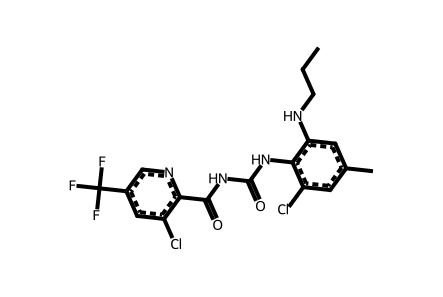 CCCNc1cc(C)cc(Cl)c1NC(=O)NC(=O)c1ncc(C(F)(F)F)cc1Cl